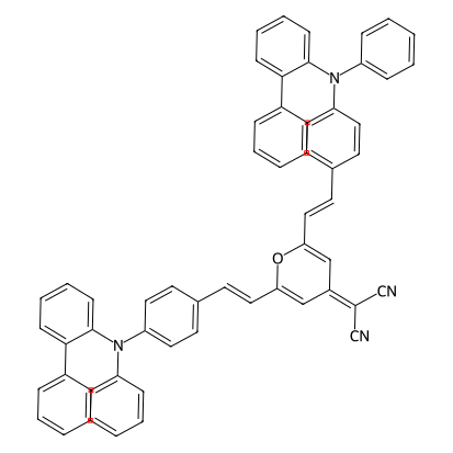 N#CC(C#N)=C1C=C(C=Cc2ccc(N(c3ccccc3)c3ccccc3-c3ccccc3)cc2)OC(C=Cc2ccc(N(c3ccccc3)c3ccccc3-c3ccccc3)cc2)=C1